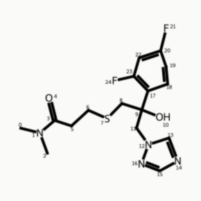 CN(C)C(=O)CCSCC(O)(Cn1cncn1)c1ccc(F)cc1F